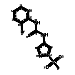 CS(=O)(=O)n1cc(NC(=S)Nc2ncccc2Br)cn1